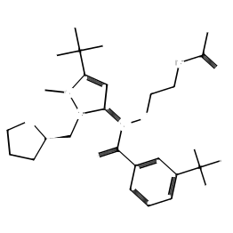 CC(=O)NCCO/[N+](C(=O)c1cccc(C(F)(F)F)c1)=c1\cc(C(C)(C)C)n(C)n1C[C@H]1CCCO1